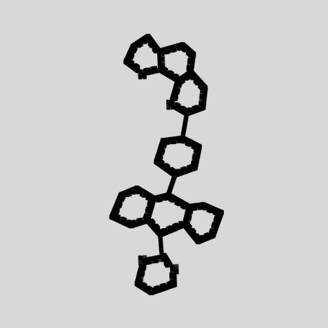 c1cnc(-c2c3ccccc3c(-c3ccc(-c4ccc5ccc6cccnc6c5n4)cc3)c3ccccc23)nc1